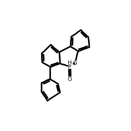 O=[PH]1Oc2ccccc2-c2cccc(-c3ccccc3)c21